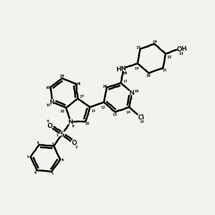 O=S(=O)(c1ccccc1)n1cc(-c2cc(Cl)nc(NC3CCC(O)CC3)c2)c2cccnc21